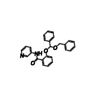 O=C(Nc1cccnc1)c1ccccc1OC(OCc1ccccc1)c1ccccc1